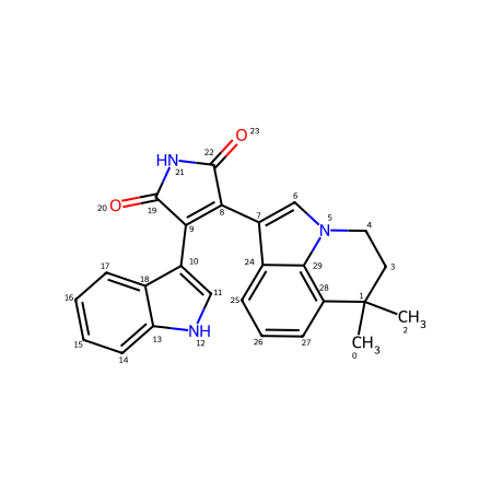 CC1(C)CCn2cc(C3=C(c4c[nH]c5ccccc45)C(=O)NC3=O)c3cccc1c32